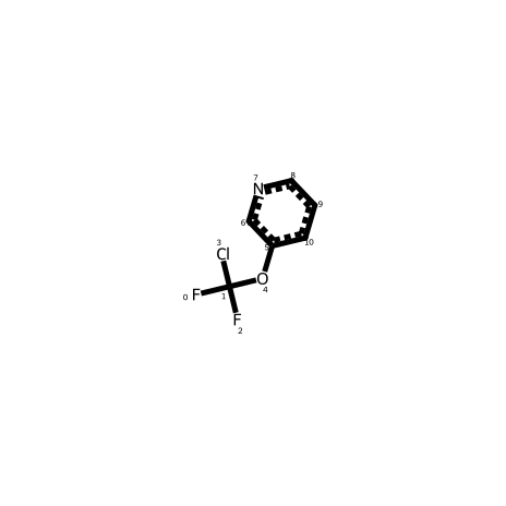 FC(F)(Cl)Oc1[c]nccc1